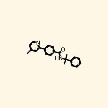 Cc1ccnc(-c2ccc(C(=O)NC(C)(C)c3ccccc3)cc2)c1